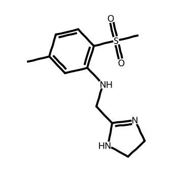 Cc1ccc(S(C)(=O)=O)c(NCC2=NCCN2)c1